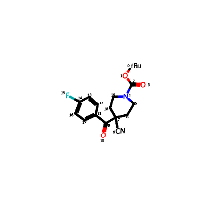 CC(C)(C)OC(=O)N1CCC(C#N)(C(=O)c2ccc(F)cc2)CC1